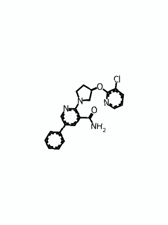 NC(=O)c1cc(-c2ccccc2)cnc1N1CCC(Oc2ncccc2Cl)C1